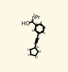 CCCC(O)c1cccc(C#CC2CCCC2)c1